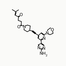 CC(C)=CC(=O)CCC(=O)N1CCC(C#Cc2cc(-c3cnc(N)nc3)nc(N3CCOCC3)c2)CC1